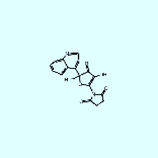 CC1(c2ccnc3ccccc23)OC(N2C(=O)CCC2=O)=C(O)C1=O